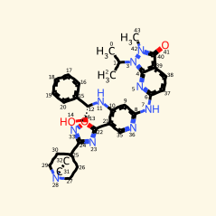 CC(C)n1c2nc(Nc3cc(N[C@H](CO)c4ccccc4)c(-c4nc(C56CCN(CC5)CC6)no4)cn3)ccc2c(=O)n1C